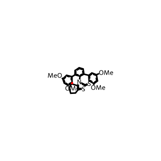 COc1cc(OC)cc(-c2cccc(-c3cc(OC)cc(OC)c3)c2-n2c3c(sc2=S)CCCC3)c1